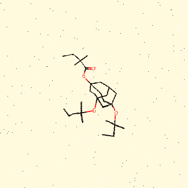 CCC(C)(C)OC12CC3CC(OC(=O)C(C)(C)CC)(C1)CC(OC(C)(C)CC)(C3)C2